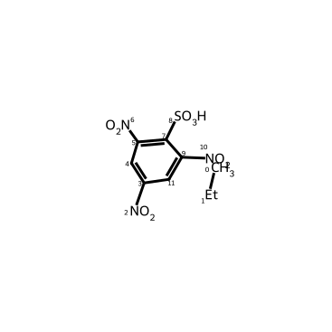 CCC.O=[N+]([O-])c1cc([N+](=O)[O-])c(S(=O)(=O)O)c([N+](=O)[O-])c1